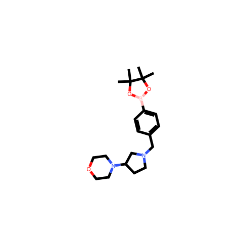 CC1(C)OB(c2ccc(CN3CCC(N4CCOCC4)C3)cc2)OC1(C)C